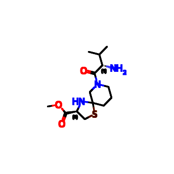 COC(=O)[C@@H]1CSC2(CCCN(C(=O)[C@@H](N)C(C)C)C2)N1